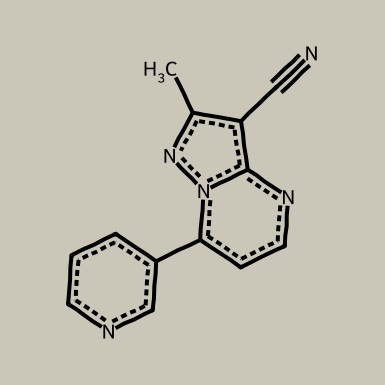 Cc1nn2c(-c3cccnc3)ccnc2c1C#N